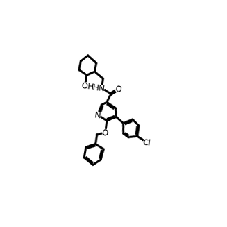 O=C(NCC1CCCCC1O)c1cnc(OCc2ccccc2)c(-c2ccc(Cl)cc2)c1